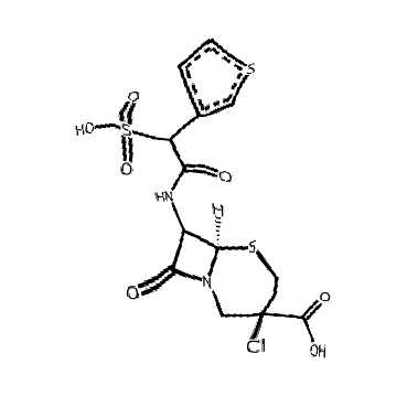 O=C(NC1C(=O)N2CC(Cl)(C(=O)O)CS[C@H]12)C(c1ccsc1)S(=O)(=O)O